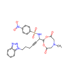 CN1CC(=O)OB(C(C#CCCCn2nnc3ccccc32)NS(=O)(=O)c2ccc([N+](=O)[O-])cc2)OC(=O)C1